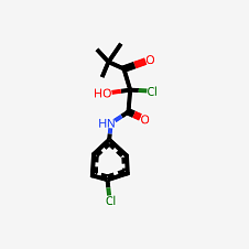 CC(C)(C)C(=O)C(O)(Cl)C(=O)Nc1ccc(Cl)cc1